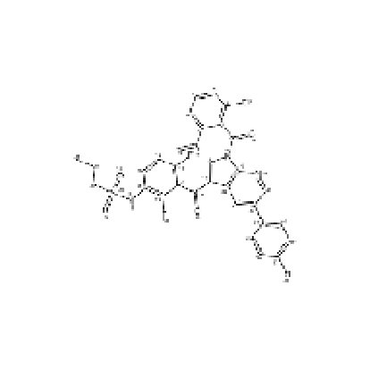 C=Cc1cccc(Cl)c1C(=O)n1cc(C(=O)c2c(F)ccc(NS(=O)(=O)CCC)c2F)c2cc(-c3ccc(Cl)cc3)cnc21